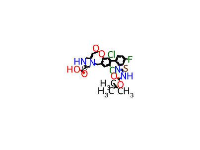 CC(C)(C)OC(=O)Nc1nc2c(-c3c(Cl)cc4c(c3Cl)OC(=O)C=C3CN[C@H](C(=O)O)CN3C4)ccc(F)c2s1